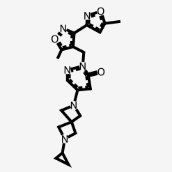 Cc1cc(-c2noc(C)c2Cn2ncc(N3CC4(C3)CN(C3CC3)C4)cc2=O)no1